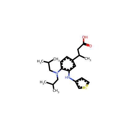 CC(C)CN(CC(C)C)c1ccc(C(C)CC(=O)O)cc1Nc1ccsc1